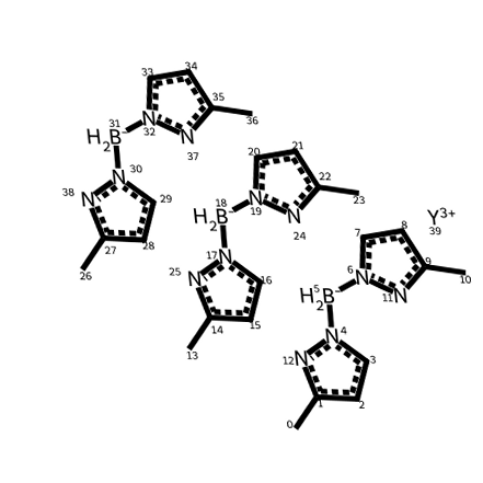 Cc1ccn([BH2-]n2ccc(C)n2)n1.Cc1ccn([BH2-]n2ccc(C)n2)n1.Cc1ccn([BH2-]n2ccc(C)n2)n1.[Y+3]